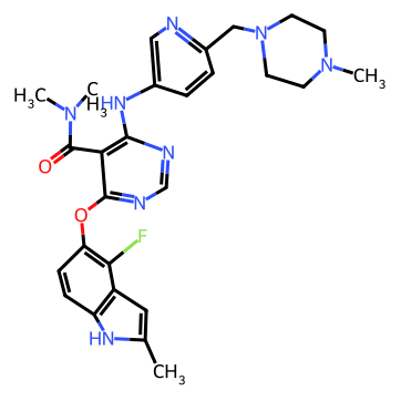 Cc1cc2c(F)c(Oc3ncnc(Nc4ccc(CN5CCN(C)CC5)nc4)c3C(=O)N(C)C)ccc2[nH]1